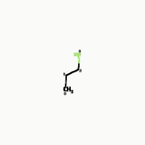 CCC[19F]